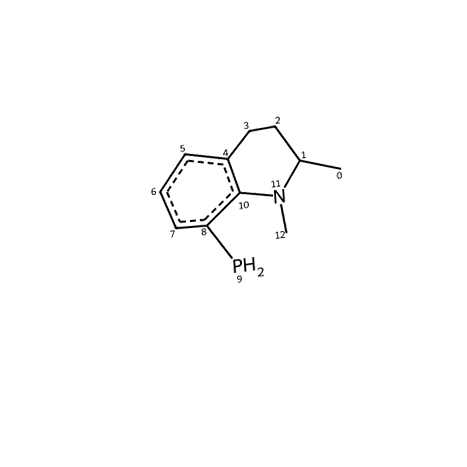 CC1CCc2cccc(P)c2N1C